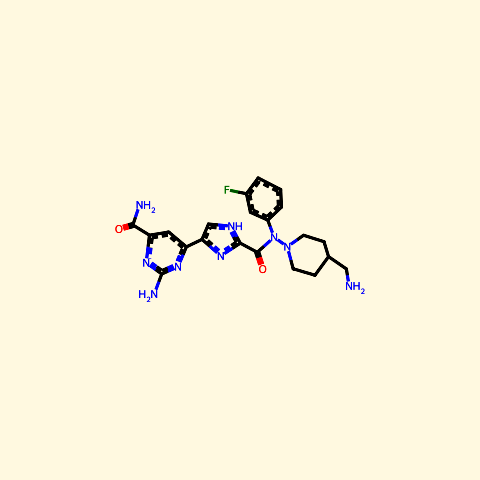 NCC1CCN(N(C(=O)c2nc(-c3cc(C(N)=O)nc(N)n3)c[nH]2)c2cccc(F)c2)CC1